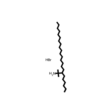 Br.CCCCCCCCCCCCCCCCC(CCCCCC)C(C)(C)N